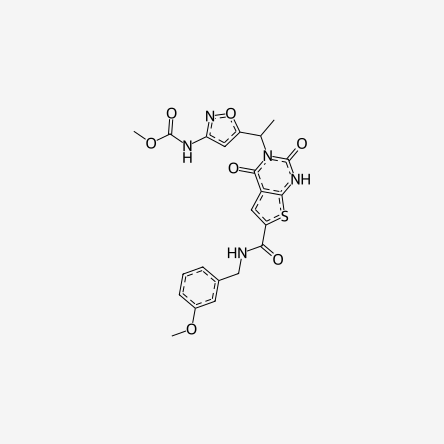 COC(=O)Nc1cc(C(C)n2c(=O)[nH]c3sc(C(=O)NCc4cccc(OC)c4)cc3c2=O)on1